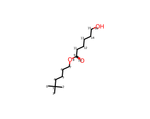 CC(C)(C)CCCCOC(=O)CCCCCO